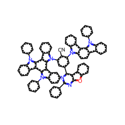 N#Cc1c(-n2c3ccccc3c3c2ccc2c4ccccc4n(-c4ccccc4)c23)cc(-c2nc(-c3ccccc3)nc3oc4ccccc4c23)cc1-n1c2ccccc2c2c3c(c4ccccc4n3-c3ccccc3)c3c(c4ccccc4n3-c3ccccc3)c21